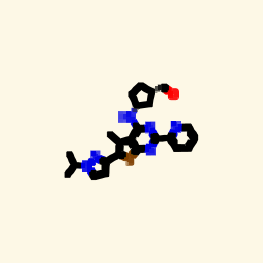 Cc1c(-c2ccn(C(C)C)n2)sc2nc(-c3ccccn3)nc(N[C@@H]3CC[C@H](C=O)C3)c12